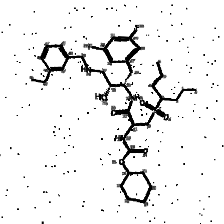 CCCC(CCC)S(=O)(=O)CC(NC(=O)OC1CCCCC1)C(=O)N[C@@H](Cc1cc(F)cc(F)c1)[C@H](O)CNCc1cccc(CC)c1